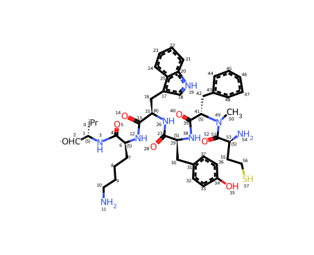 CC(C)[C@@H]([C]=O)NC(=O)[C@H](CCCCN)NC(=O)[C@@H](Cc1c[nH]c2ccccc12)NC(=O)[C@H](Cc1ccc(O)cc1)NC(=O)[C@H](Cc1ccccc1)N(C)C(=O)[C@@H](N)CCS